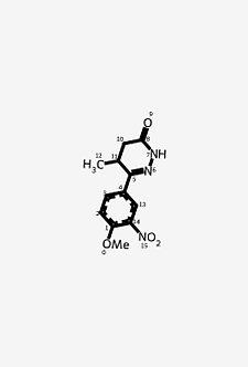 COc1ccc(C2=NNC(=O)CC2C)cc1[N+](=O)[O-]